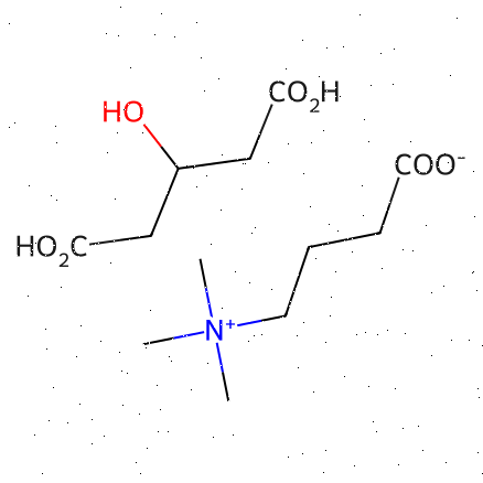 C[N+](C)(C)CCCC(=O)[O-].O=C(O)CC(O)CC(=O)O